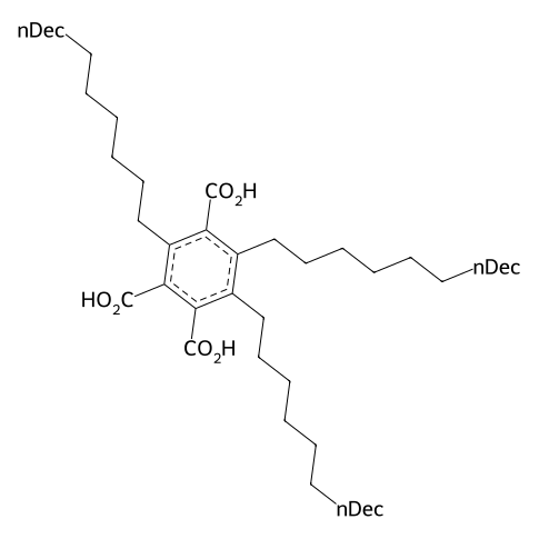 CCCCCCCCCCCCCCCCc1c(CCCCCCCCCCCCCCCC)c(C(=O)O)c(C(=O)O)c(CCCCCCCCCCCCCCCC)c1C(=O)O